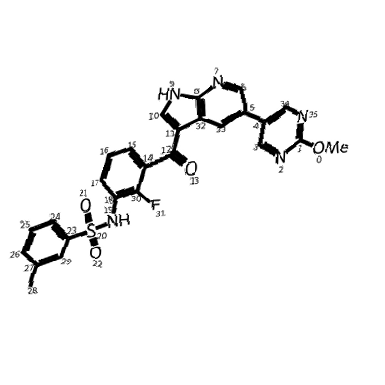 COc1ncc(-c2cnc3[nH]cc(C(=O)c4cccc(NS(=O)(=O)c5cccc(C)c5)c4F)c3c2)cn1